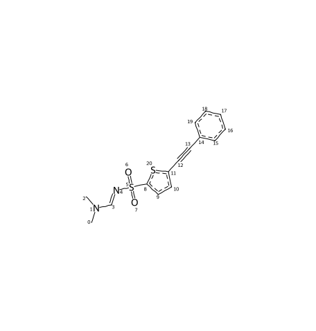 CN(C)C=NS(=O)(=O)c1ccc(C#Cc2ccccc2)s1